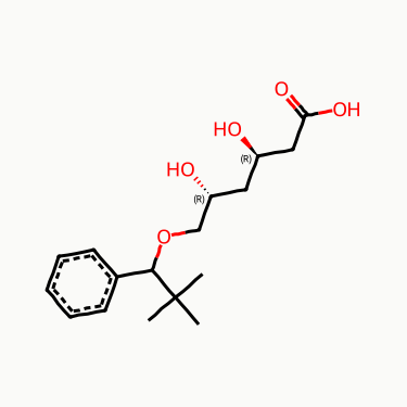 CC(C)(C)C(OC[C@H](O)C[C@@H](O)CC(=O)O)c1ccccc1